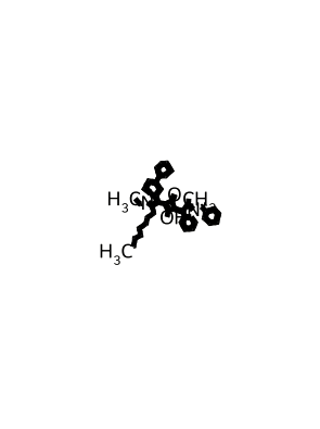 CCCCCCCCc1c(C2=C(O)/C(=C3/C(C)=[N+](Cc4ccccc4)c4ccccc43)C2=O)c2cc(-c3ccccc3)ccc2n1CC